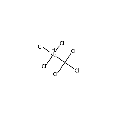 Cl[C](Cl)(Cl)[SbH]([Cl])([Cl])[Cl]